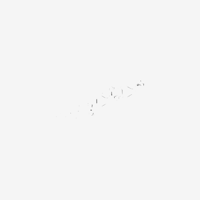 CCCCCC1COB(c2ccc(C(=O)Oc3ccc(C#N)cc3)cc2)OC1